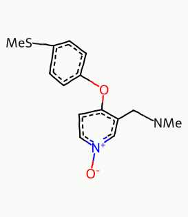 CNCc1c[n+]([O-])ccc1Oc1ccc(SC)cc1